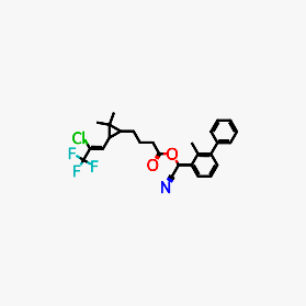 Cc1c(-c2ccccc2)cccc1C(C#N)OC(=O)CCCC1C(C=C(Cl)C(F)(F)F)C1(C)C